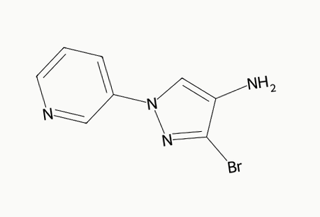 Nc1cn(-c2cccnc2)nc1Br